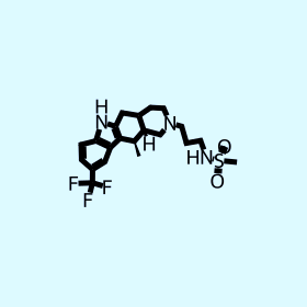 C[C@H]1c2c([nH]c3ccc(C(F)(F)F)cc23)CC2CCN(CCCNS(C)(=O)=O)C[C@@H]21